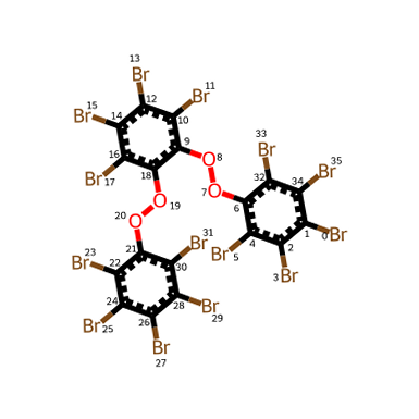 Brc1c(Br)c(Br)c(OOc2c(Br)c(Br)c(Br)c(Br)c2OOc2c(Br)c(Br)c(Br)c(Br)c2Br)c(Br)c1Br